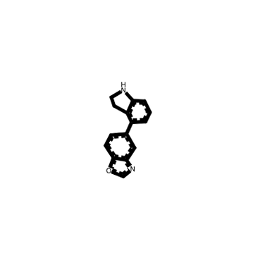 c1cc2c(c(-c3ccc4ocnc4c3)c1)CCN2